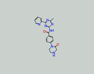 Cc1nc(NC(=O)c2ccc(N3CCNCC3=O)cc2)nc(-c2ccccn2)n1